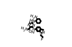 NC(=O)c1nnc(N[C@@H]2CCCC[C@@H]2N)nc1Nc1ccc2cnn(CCF)c2c1